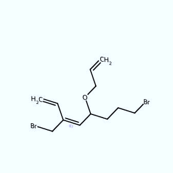 C=CCOC(/C=C(\C=C)CBr)CCCBr